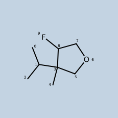 CC(C)C1(C)COCC1F